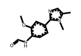 COc1cc(-c2ncc(C)n2C)ccc1NC=O